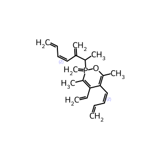 C=C/C=C\C(=C)C(C)P1(=C)OC(C)=C(/C=C\C=C)C(C=C)=C1C